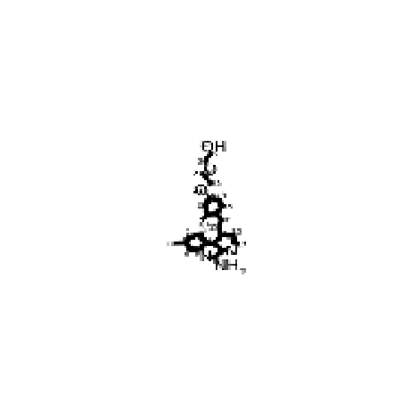 Cc1ccc2c(c1)nc(N)c1nccc(CCc3ccc(OCCOCCO)cc3C)c12